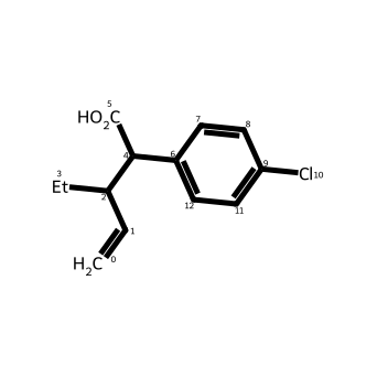 C=CC(CC)C(C(=O)O)c1ccc(Cl)cc1